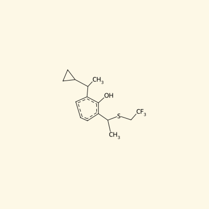 CC(SCC(F)(F)F)c1cccc(C(C)C2CC2)c1O